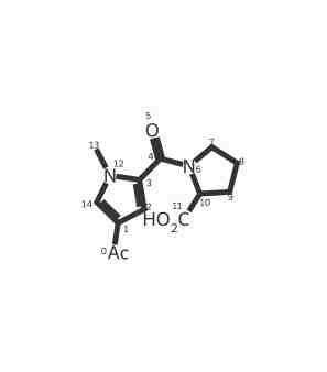 CC(=O)c1cc(C(=O)N2CCCC2C(=O)O)n(C)c1